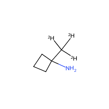 [2H]C([2H])([2H])C1(N)CCC1